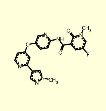 Cn1cc(-c2cc(Oc3ccc(NC(=O)c4cc(F)cn(C)c4=O)nc3)ccn2)cn1